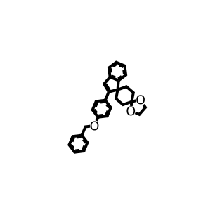 C1=C(c2ccc(OCc3ccccc3)cc2)C2(CCC3(CC2)OCCO3)c2ccccc21